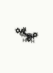 CC(c1ccccc1)n1cncc1CCNC(=O)[C@H]1CNCCN1C(=O)NC1CCCCC1